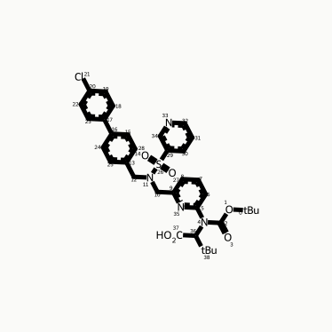 CC(C)(C)OC(=O)N(c1cccc(CN(Cc2ccc(-c3ccc(Cl)cc3)cc2)S(=O)(=O)c2cccnc2)n1)C(C(=O)O)C(C)(C)C